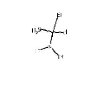 CCN(CC)C([SiH3])(Cl)CC